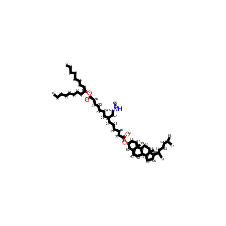 CCCCCCCCC(CCCCCCCC)OC(=O)CCCCCCC(CCCCCC(=O)OC1CCC2(C)C(=CCC3C2CCC2(C)C(C(C)CCCC(C)C)CCC32)C1)CCNC